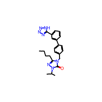 CCCCc1nn(C(C)C)c(=O)n1Cc1ccc(-c2cccc(-c3nnn[nH]3)c2)cc1